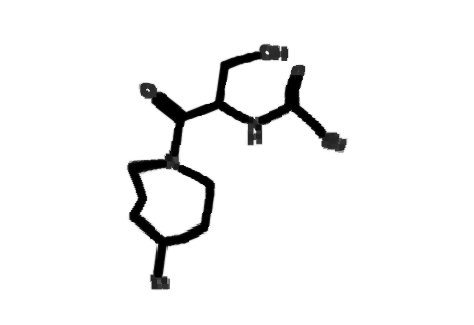 CCC1CCN(C(=O)C(CO)NC(=O)C(C)(C)C)CC1